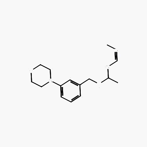 C/N=C\NC(C)OCc1cccc(N2CCOCC2)c1